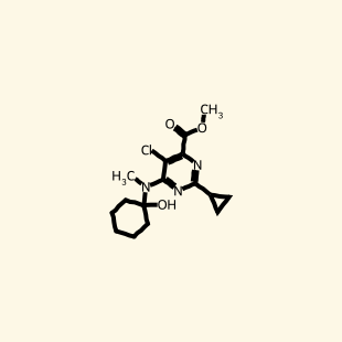 COC(=O)c1nc(C2CC2)nc(N(C)C2(O)CCCCC2)c1Cl